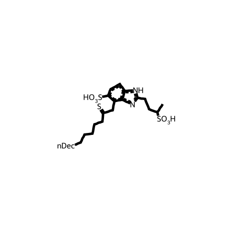 CCCCCCCCCCCCCCCC(=S)Cc1c(S(=O)(=O)O)ccc2[nH]c(CCC(C)S(=O)(=O)O)nc12